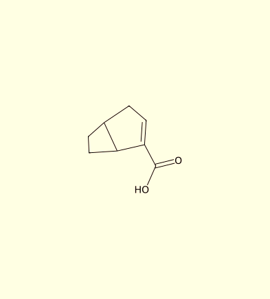 O=C(O)C1=CCC2CCC12